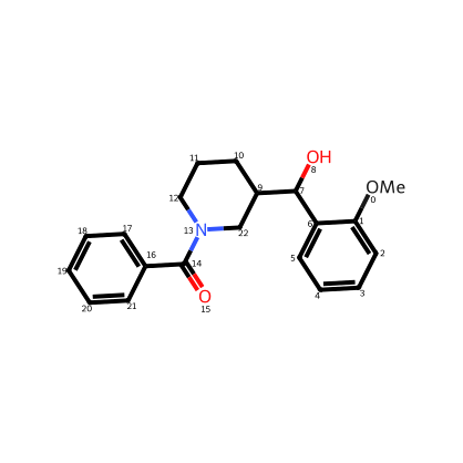 COc1ccccc1C(O)C1CCCN(C(=O)c2ccccc2)C1